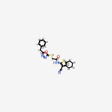 N#Cc1c(NC(=O)CSc2nnc(Cc3ccccc3)o2)sc2c1CCCC2